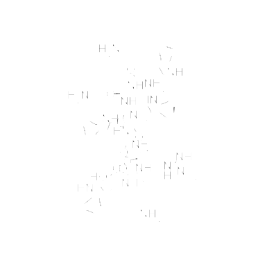 N=C(N)NCCC[C@H](NC(=O)[C@H](Cc1c[nH]c2ccccc12)NC(=O)[C@H](Cc1c[nH]c2ccccc12)NC(=O)[C@H](CCCCN)NC(=O)[C@H](CCCCN)NC(=O)[C@@H](N)Cc1c[nH]c2ccccc12)C(=O)N[C@@H](CCCCN)C(=O)N[C@@H](Cc1c[nH]c2ccccc12)C(=O)O